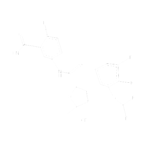 C[C@H]1[C@@H](c2ccc(F)c(F)c2OC(F)F)[C@@H](C(=O)Nc2ccc(F)c(C(N)=O)c2)O[C@@]1(C)C(F)(F)F